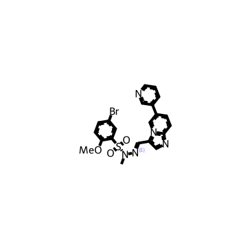 COc1ccc(Br)cc1S(=O)(=O)N(C)/N=C/c1cnc2ccc(-c3cccnc3)cn12